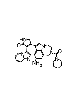 Nc1cc2c3c(c1)c(C1=C(c4cnc5ccccn45)C(=O)NC1)cn3CCN(C(=O)N1CCCCC1)C2